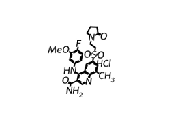 COc1cc(Nc2c(C(N)=O)cnc3c(C)cc(S(=O)(=O)CCN4CCCC4=O)cc23)ccc1F.Cl